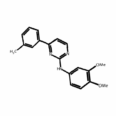 COc1ccc(Nc2nccc(-c3cccc(C)c3)n2)cc1OC